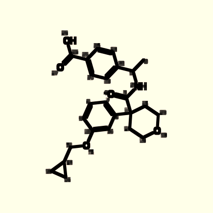 CC(NC(=O)C1(c2cccc(OCC3CC3)c2)CCOCC1)c1ccc(C(=O)O)cc1